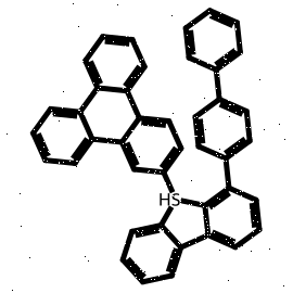 c1ccc(-c2ccc(-c3cccc4c3[SH](c3ccc5c6ccccc6c6ccccc6c5c3)c3ccccc3-4)cc2)cc1